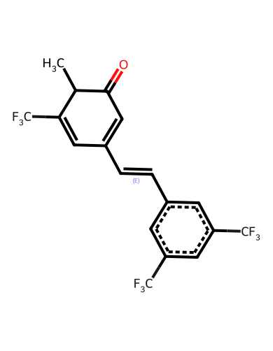 CC1C(=O)C=C(/C=C/c2cc(C(F)(F)F)cc(C(F)(F)F)c2)C=C1C(F)(F)F